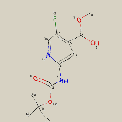 COC(O)c1cc(NC(=O)OC(C)(C)C)ncc1F